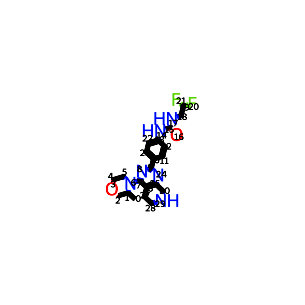 CC1COCCN1c1nc(-c2ccc(NC(=O)NCC(F)F)cc2)nc2c1CCNC2